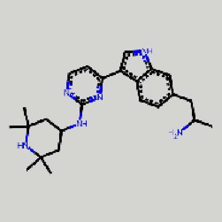 CC(N)Cc1ccc2c(-c3ccnc(NC4CC(C)(C)NC(C)(C)C4)n3)c[nH]c2c1